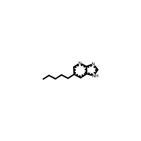 CCCCCc1cnc2nc[nH]c2c1